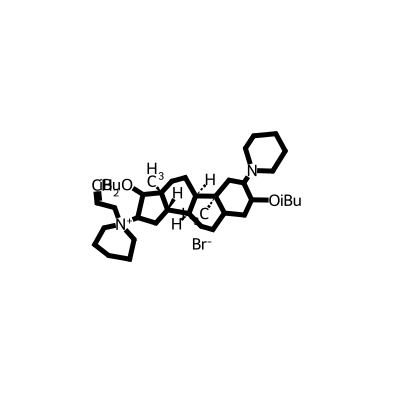 C=CC[N+]1(C2C[C@H]3[C@@H]4CCC5CC(OCC(C)C)C(N6CCCCC6)C[C@]5(C)[C@@H]4CC[C@]3(C)C2OCC(C)C)CCCCC1.[Br-]